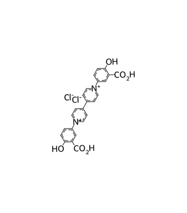 O=C(O)c1cc(-[n+]2ccc(-c3cc[n+](-c4ccc(O)c(C(=O)O)c4)cc3)cc2)ccc1O.[Cl-].[Cl-]